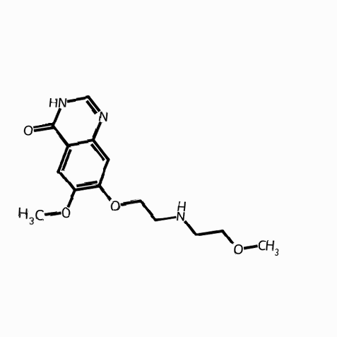 COCCNCCOc1cc2nc[nH]c(=O)c2cc1OC